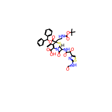 C=CC1=C(C(=O)O)N2C(=O)C(NC(=O)C(=O)c3csc(NC=O)n3)[C@@H]2SC1(CCNC(=O)OC(C)(C)C)C(=O)OC(c1ccccc1)c1ccccc1